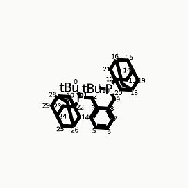 CC(C)(C)P(Cc1ccccc1CP(C(C)(C)C)C12CC3CC(CC(C3)C1)C2)C12CC3CC(CC(C3)C1)C2